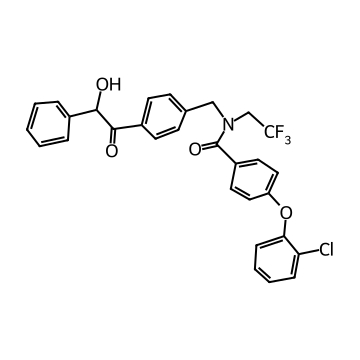 O=C(c1ccc(CN(CC(F)(F)F)C(=O)c2ccc(Oc3ccccc3Cl)cc2)cc1)C(O)c1ccccc1